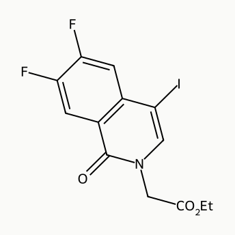 CCOC(=O)Cn1cc(I)c2cc(F)c(F)cc2c1=O